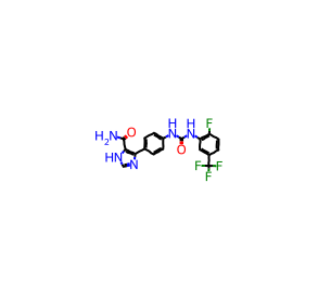 NC(=O)c1[nH]cnc1-c1ccc(NC(=O)Nc2cc(C(F)(F)F)ccc2F)cc1